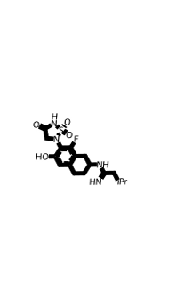 CC(C)CC(=N)NC1CCc2cc(O)c(N3CC(=O)NS3(=O)=O)c(F)c2C1